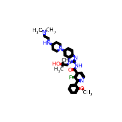 COc1ccccc1-c1nccc(C(=O)Nc2nc3ccc(N4CCC(NCCN(C)C)CC4)cc3n2CC(C)(C)O)c1F